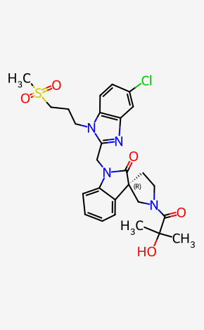 CC(C)(O)C(=O)N1CC[C@@]2(C1)C(=O)N(Cc1nc3cc(Cl)ccc3n1CCCS(C)(=O)=O)c1ccccc12